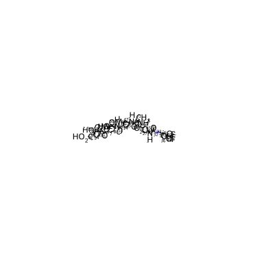 COc1c(NC(=O)c2ccc(NC(=O)c3ccc(NC(=O)[C@H](C)NC(=O)c4ccc(NC(=O)/C=C/c5ccc6c(c5)OC(F)(F)O6)cc4)cc3)c(OC)c2O)ccc(C(=O)O)c1O